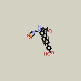 COCC(C)[C@@H]1CC[C@]2(NCCN3CCS(=O)(=O)CC3)CC[C@]3(C)[C@H](CC[C@@H]4[C@@]5(C)CC=C(c6ccc(C(=O)O)cc6)C(C)(C)[C@@H]5CC[C@]43C)[C@@H]12